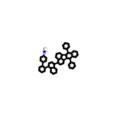 [C-]#[N+]c1ccc(-c2ccccc2-c2ccc(-c3ccc4c5c(cccc35)-c3c-4c(-c4ccccc4)c4ccccc4c3-c3ccccc3)c3ccccc23)cc1